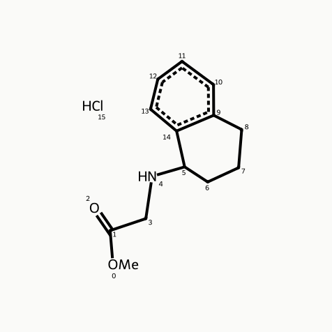 COC(=O)CNC1CCCc2ccccc21.Cl